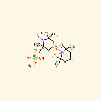 CC1(C)CCCC(C)(C)N1[O-].CC1(C)CCCC(C)(C)N1[O].[Na+].[O-][Cl+3]([O-])([O-])O